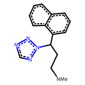 CNCCC(c1cccc2ccccc12)n1ncnn1